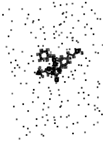 C[Si](C)(C)CCN1C(=O)CN(c2ccc(CCC(F)(F)F)cc2OCc2ccccc2)S1(=O)=O